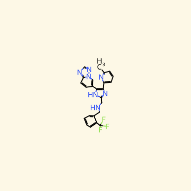 Cc1cccc(-c2nc(CNCc3ccccc3C(F)(F)F)[nH]c2-c2ccc3ncnn3c2)n1